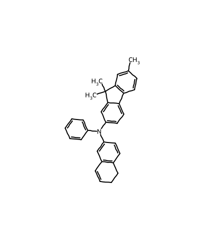 Cc1ccc2c(c1)C(C)(C)c1cc(N(c3ccccc3)c3ccc4c(c3)C=CCC4)ccc1-2